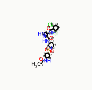 C=CC(=O)Nc1ccc(S(=O)(=O)N2CCC[C@@H](NC(=O)c3n[nH]cc3NC(=O)c3c(Cl)cccc3Cl)C2)cc1